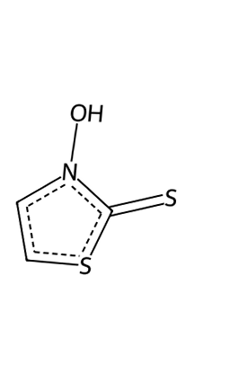 On1ccsc1=S